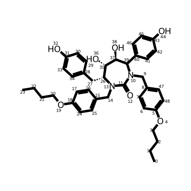 CCCCOc1ccc(CN2C(=O)N(Cc3ccc(OCCCC)cc3)[C@H](Cc3ccc(O)cc3)[C@H](O)[C@@H](O)C2c2ccc(O)cc2)cc1